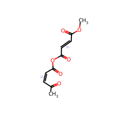 COC(=O)/C=C/C(=O)OC(=O)/C=C\C(C)=O